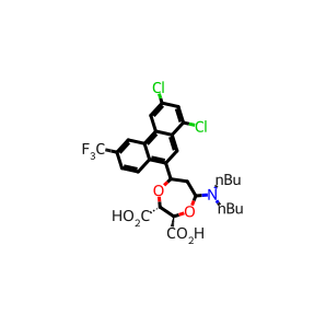 CCCCN(CCCC)C1CC(c2cc3c(Cl)cc(Cl)cc3c3cc(C(F)(F)F)ccc23)O[C@@H](C(=O)O)[C@H](C(=O)O)O1